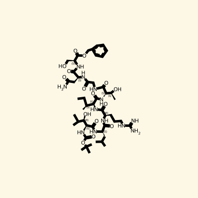 CC[C@H](C)[C@H](NC(=O)[C@@H](CCCNC(=N)N)NC(=O)[C@H](CC(C)C)NC(=O)[C@@H](NC(=O)OC(C)(C)C)[C@H](O)C(C)C)C(=O)N[C@H](C(=O)NCC(=O)N[C@@H](CC(N)=O)C(=O)N[C@@H](CO)C(=O)OCc1ccccc1)[C@H](C)O